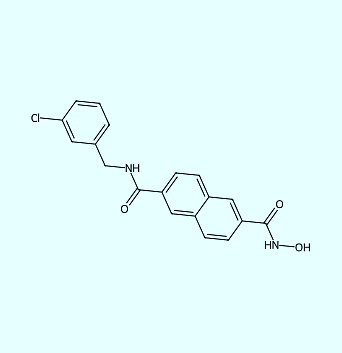 O=C(NO)c1ccc2cc(C(=O)NCc3cccc(Cl)c3)ccc2c1